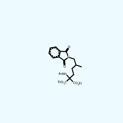 CCOC(=O)C(CCC(C)CN1C(=O)c2ccccc2C1=O)(NC(C)=O)C(=O)OCC